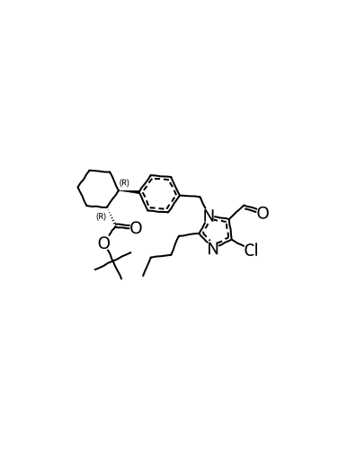 CCCCc1nc(Cl)c(C=O)n1Cc1ccc([C@@H]2CCCC[C@H]2C(=O)OC(C)(C)C)cc1